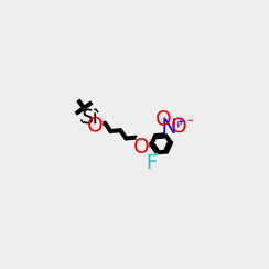 CC(C)(C)[Si](C)(C)OCCCCCOc1cc([N+](=O)[O-])ccc1F